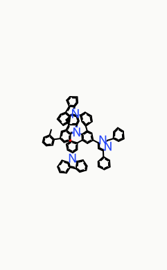 Cc1ccccc1-c1ccc2c(c1)c1ccccc1n2-c1c(-c2cccc(-n3c4ccccc4c4ccccc43)c2)cc(-c2cc(-c3ccccc3)nc(-c3ccccc3)n2)cc1-c1cccc(-n2c3ccccc3c3ccccc32)c1